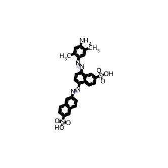 Cc1cc(/N=N/c2ccc(/N=N/c3ccc4cc(S(=O)(=O)O)ccc4c3)c3ccc(S(=O)(=O)O)cc23)c(C)cc1N